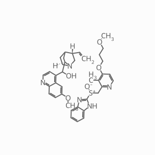 C=C[C@@H]1CN2CCC1C[C@@H]2C(O)c1ccnc2ccc(OC)cc12.COCCCOc1ccnc(C[S+]([O-])c2nc3ccccc3[nH]2)c1C